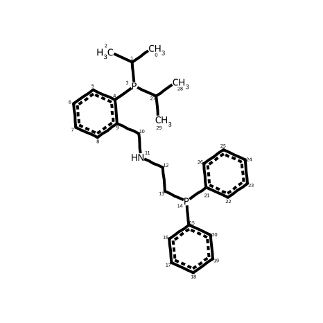 CC(C)P(c1ccccc1CNCCP(c1ccccc1)c1ccccc1)C(C)C